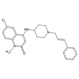 Cn1c(=O)cc(NC2CCN(CC=Cc3ccccc3)CC2)c2cc(Cl)ccc21